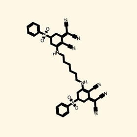 N#CC(C#N)=C1CC(S(=O)(=O)c2ccccc2)CC(NCCCCCCNC2=C(C#N)C(=C(C#N)C#N)CC(S(=O)(=O)c3ccccc3)C2)=C1C#N